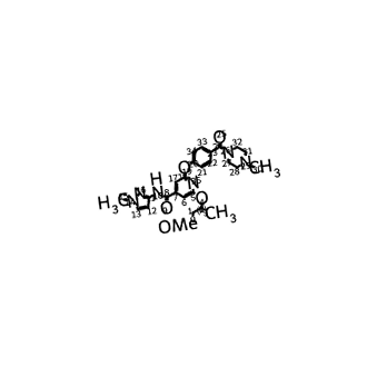 COC[C@@H](C)Oc1cc(C(=O)Nc2ccn(C)n2)cc(Oc2ccc(C(=O)N3CCN(C)CC3)cc2)n1